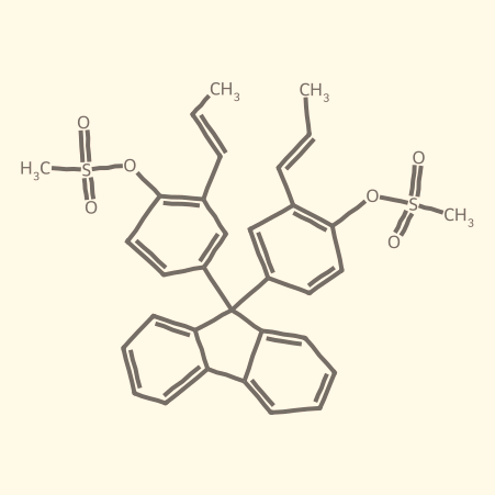 CC=Cc1cc(C2(c3ccc(OS(C)(=O)=O)c(C=CC)c3)c3ccccc3-c3ccccc32)ccc1OS(C)(=O)=O